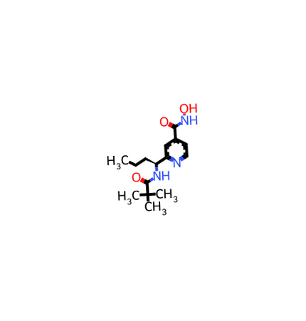 CCC[C@H](NC(=O)C(C)(C)C)c1cc(C(=O)NO)ccn1